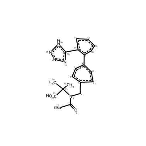 CCCCC(=O)N(Cc1ccc(-c2ccccc2-c2nnn[nH]2)cc1)C(C)(C)C(=O)O